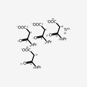 CCCC(=O)CC(=O)[O-].CCCC(=O)CC(=O)[O-].CCCC(=O)CC(=O)[O-].CCCC(=O)CC(=O)[O-].[Ti+4]